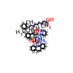 CC1=C(/C=C/C(C)=C/C=C/C(C)=C/C(=O)O)C(C)(C)CCC1.CN1C(C(=O)Nc2ccccn2)=C(O)c2ccccc2S1(=O)=O.NC(=O)N1c2ccccc2C=Cc2ccccc21